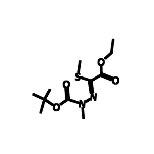 CCOC(=O)/C(=N/N(C)C(=O)OC(C)(C)C)SC